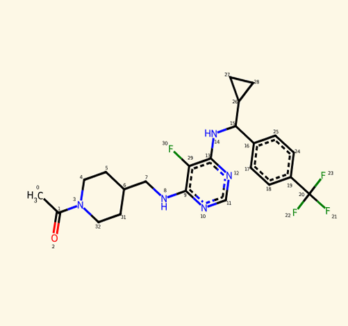 CC(=O)N1CCC(CNc2ncnc(NC(c3ccc(C(F)(F)F)cc3)C3CC3)c2F)CC1